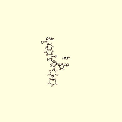 COC(=O)c1ccc2cc(C(=O)Nc3nc(-c4cc(Cl)cs4)c(N4CCN(C5CCCCC5)CC4)s3)ccc2n1.Cl